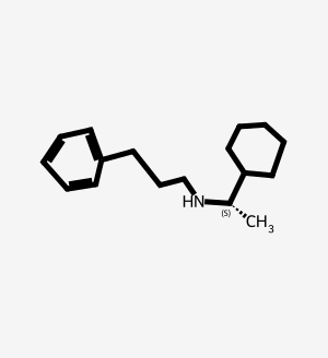 C[C@H](NCCCc1ccccc1)C1CCCCC1